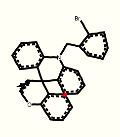 Brc1ccccc1CN1c2ccccc2C2(c3ccccc3Oc3ccccc32)c2ccccc21